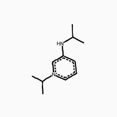 CC(C)Nc1ccc[n+](C(C)C)c1